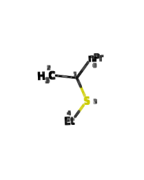 CCCC(C)SCC